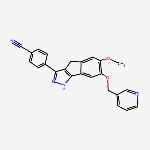 COc1cc2c(cc1OCc1cccnc1)-c1[nH]nc(-c3ccc(C#N)cc3)c1C2